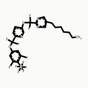 CCCCCCCc1cnc(C(F)(F)Oc2ccc(C(F)(F)Oc3cc(F)c(S(F)(F)(F)(F)F)c(F)c3)nc2)nc1